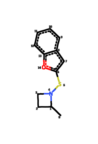 CC1CCN1Sc1cc2ccccc2o1